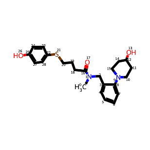 CN(Cc1ccccc1N1CCC(O)CC1)C(=O)CCCSc1ccc(O)cc1